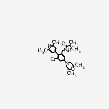 Cc1cc(-c2c(Cl)cc(N3C[C@@H](C)O[C@@H](C)C3)cc2CNC(=O)C(C)C)cc(C)n1